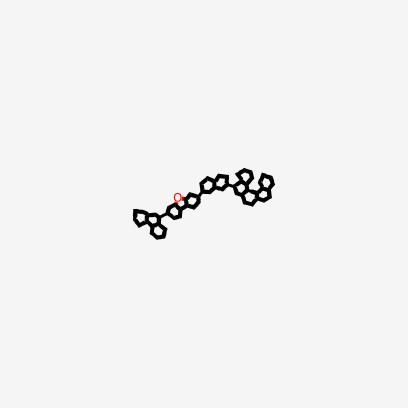 c1ccc2c(c1)cc(-c1ccc3c(c1)oc1cc(-c4ccc5ccc(-c6cc7ccc8ccc9ccccc9c8c7c7ccccc67)cc5c4)ccc13)c1ccccc12